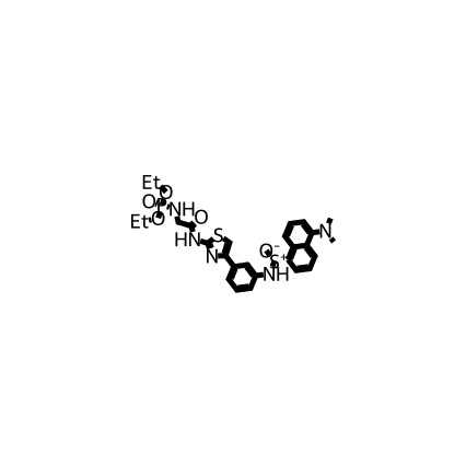 CCOP(=O)(NCC(=O)Nc1nc(-c2cccc(N[S+]([O-])c3cccc4c(N(C)C)cccc34)c2)cs1)OCC